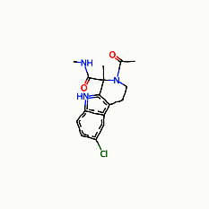 CNC(=O)C1(C)c2[nH]c3ccc(Cl)cc3c2CCN1C(C)=O